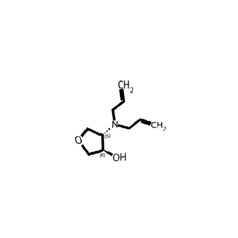 C=CCN(CC=C)[C@H]1COC[C@@H]1O